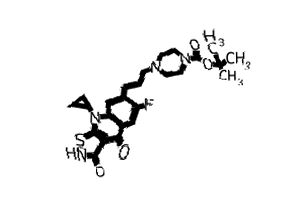 CC(C)(C)OC(=O)N1CCN(CC=Cc2cc3c(cc2F)c(=O)c2c(=O)[nH]sc2n3C2CC2)CC1